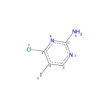 Nc1n[c]c(I)c(Cl)n1